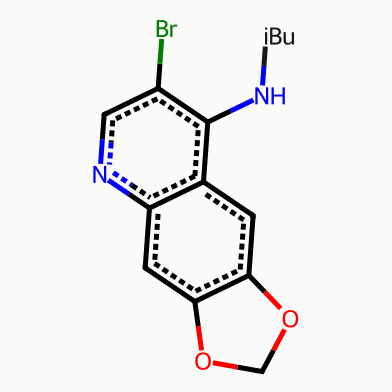 CCC(C)Nc1c(Br)cnc2cc3c(cc12)OCO3